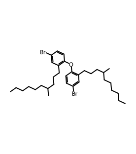 CCCCCCC(C)CCCc1cc(Br)ccc1Oc1ccc(Br)cc1CCCC(C)CCCCCC